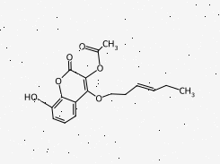 CCC=CCCOc1c(OC(C)=O)c(=O)oc2c(O)cccc12